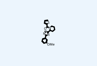 COc1cccc(-c2noc(C3CCCCN3C(=O)c3cccs3)n2)c1